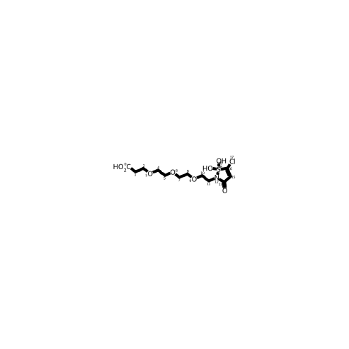 O=C(O)CCOCCOCCOCCN1C(=O)C=C(Cl)S1(O)O